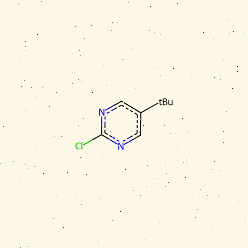 CC(C)(C)c1cnc(Cl)nc1